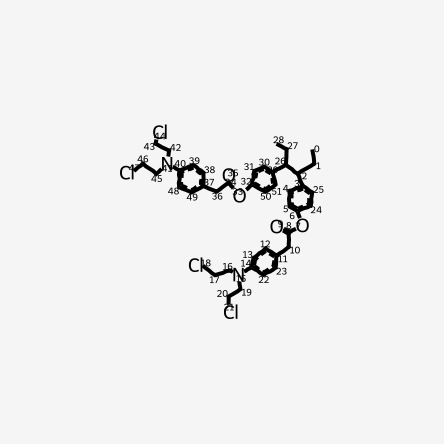 CCC(c1ccc(OC(=O)Cc2ccc(N(CCCl)CCCl)cc2)cc1)C(CC)c1ccc(OC(=O)Cc2ccc(N(CCCl)CCCl)cc2)cc1